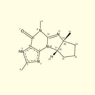 Cc1nc2c([nH]1)C(=O)N(C)C1=N[C@]3(C)CCC[C@@H]3N12